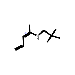 C=C/C=C(/C)NCC(C)(C)C